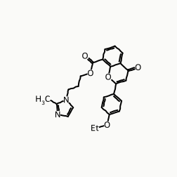 CCOc1ccc(-c2cc(=O)c3cccc(C(=O)OCCCn4ccnc4C)c3o2)cc1